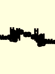 COC(=O)N[C@H](C(=O)N1[C@@H]2C[C@@H]2C[C@H]1c1nc2ccc(-c3ccc4cc(-c5ccc6nc(C7C[C@@H](C)C(C)N7C(=O)[C@H](NC(=O)OC)c7ccccc7)[nH]c6c5)ccc4c3)cc2[nH]1)c1ccccc1